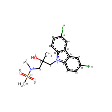 CC(C)N(CC(C)(O)Cn1c2ccc(F)cc2c2cc(F)ccc21)S(C)(=O)=O